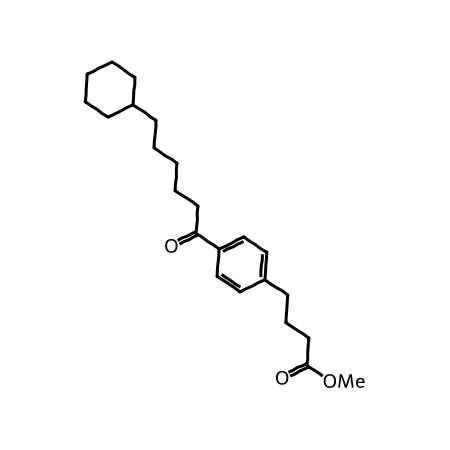 COC(=O)CCCc1ccc(C(=O)CCCCCC2CCCCC2)cc1